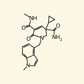 CNC(=O)C1=CC(C(N)=O)(C2CC2)CN(Cc2cccc3c2ccn3C)C1=O